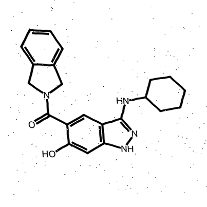 O=C(c1cc2c(NC3CCCCC3)n[nH]c2cc1O)N1Cc2ccccc2C1